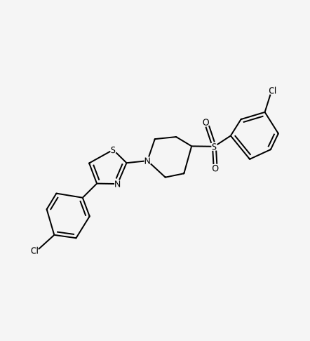 O=S(=O)(c1cccc(Cl)c1)C1CCN(c2nc(-c3ccc(Cl)cc3)cs2)CC1